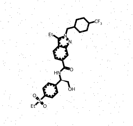 CCc1c2ccc(C(=O)N[C@@H](CO)c3ccc(S(=O)(=O)CC)cc3)cc2nn1CC1CCC(C(F)(F)F)CC1